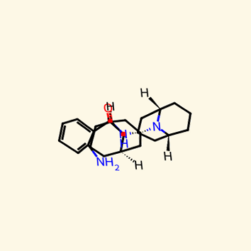 Nc1ccccc1C(=O)N[C@H]1C[C@H]2CCC[C@@H](C1)N2[C@H]1C[C@@H]2CCC[C@@H](C2)C1